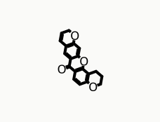 O=c1c2cc3c(cc2oc2c4c(ccc12)OCCC4)OCC=C3